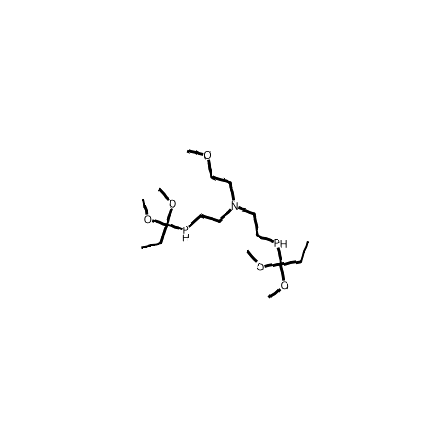 CCC(OC)(OC)PCCN(CCOC)CCPC(CC)(OC)OC